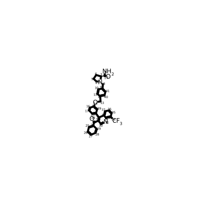 NC(=O)[C@@H]1CCCN1Cc1ccc(COc2cccc(-c3c(C(=O)c4ccccc4)cnc4c(C(F)(F)F)cccc34)c2)cc1